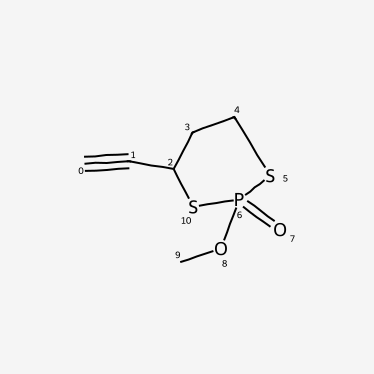 C#CC1CCSP(=O)(OC)S1